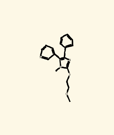 COCCSc1nc(-c2ccccc2)c(-c2cccnc2)n1C